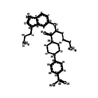 CCCCC(Oc1ccc2[nH]cc(CCN)c2c1)C(=O)N1CCN(c2ccc([N+](=O)[O-])cc2)CC1